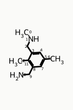 CNCc1cc(C)cc(CN)c1C